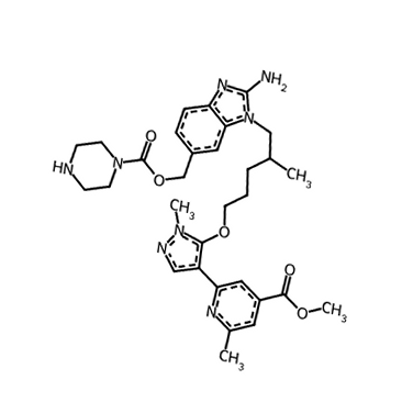 COC(=O)c1cc(C)nc(-c2cnn(C)c2OCCCC(C)Cn2c(N)nc3ccc(COC(=O)N4CCNCC4)cc32)c1